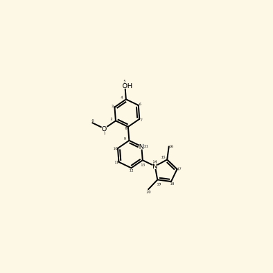 COc1cc(O)ccc1-c1cccc(-n2c(C)ccc2C)n1